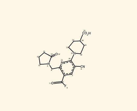 N#Cc1cc(C(=O)F)c(CN2CCCC2=O)nc1N1CCC(C(=O)O)CC1